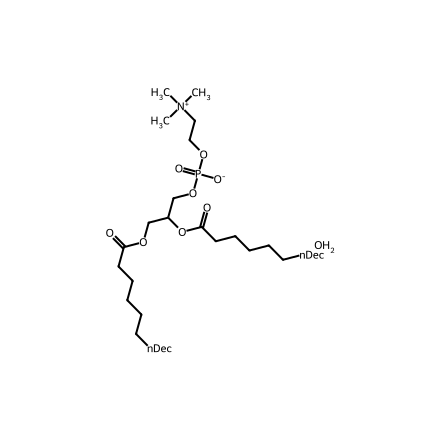 CCCCCCCCCCCCCCCC(=O)OCC(COP(=O)([O-])OCC[N+](C)(C)C)OC(=O)CCCCCCCCCCCCCCC.O